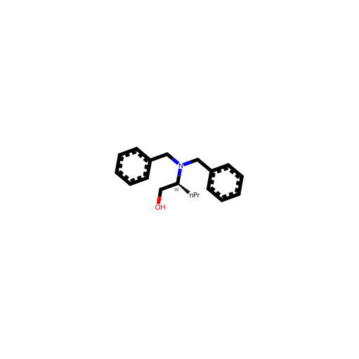 CCC[C@@H](CO)N(Cc1ccccc1)Cc1ccccc1